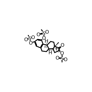 C[C@]12CC[C@@H]3c4c(cc(OS(C)(=O)=O)cc4OS(C)(=O)=O)CC[C@@H]3[C@@H]1C[C@H](OS(C)(=O)=O)C2=O